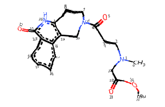 CN(CCC(=O)N1CCc2[nH]c(=O)c3ccccc3c2C1)CC(=O)OC(C)(C)C